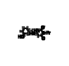 CC(C)n1c(=O)cc(NCc2cccc(O)c2)[nH]c1=O